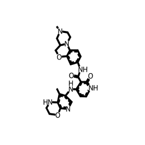 Cc1c(Nc2cc[nH]c(=O)c2C(=O)Nc2ccc3c(c2)OCC2CN(C)CCN32)cnc2c1NCCO2